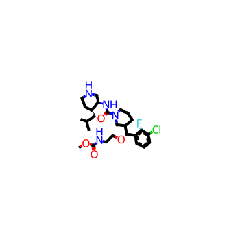 COC(=O)NCCO[C@@H](c1cccc(Cl)c1F)C1CCCN(C(=O)N[C@@H]2CNCC[C@H]2CC(C)C)C1